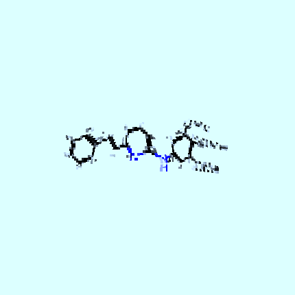 COc1cc(Nc2cccc(C=Cc3ccccc3)n2)cc(OC)c1OC